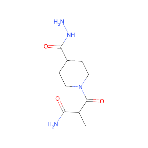 C[C](C(N)=O)C(=O)N1CCC(C(=O)NN)CC1